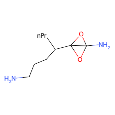 CCCC(CCCN)C12OC1(N)O2